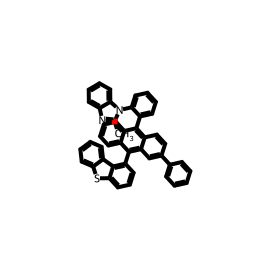 Cc1nc2ccccc2n1-c1ccccc1-c1c2ccccc2c(-c2cccc3sc4ccccc4c23)c2cc(-c3ccccc3)ccc12